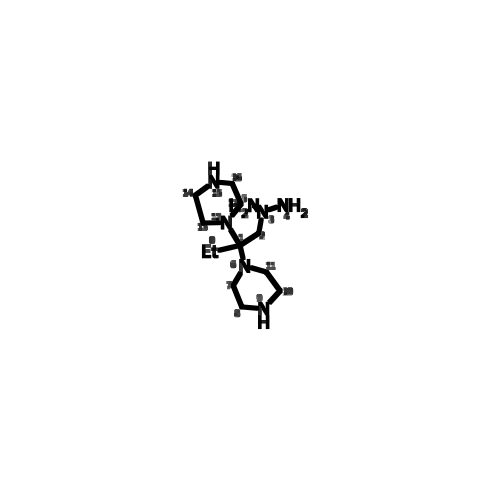 CCC(CN(N)N)(N1CCNCC1)N1CCNCC1